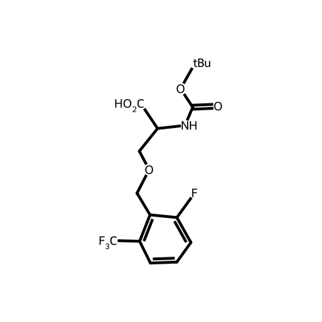 CC(C)(C)OC(=O)NC(COCc1c(F)cccc1C(F)(F)F)C(=O)O